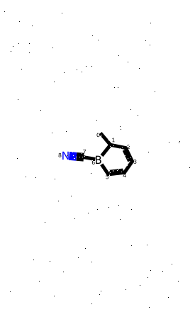 CC1C=CC=CB1C#N